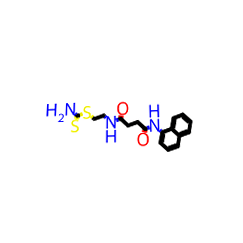 NC(=S)SCCNC(=O)CCC(=O)Nc1cccc2ccccc12